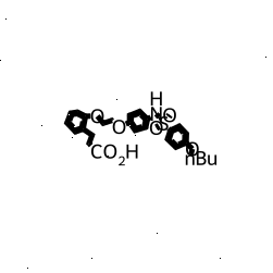 CCCCOc1ccc(S(=O)(=O)Nc2ccc(OCCOc3ccccc3CCC(=O)O)cc2)cc1